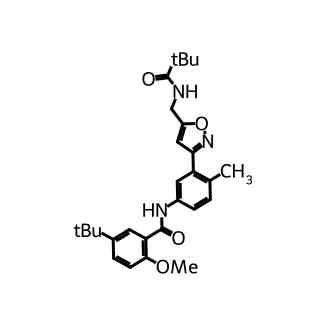 COc1ccc(C(C)(C)C)cc1C(=O)Nc1ccc(C)c(-c2cc(CNC(=O)C(C)(C)C)on2)c1